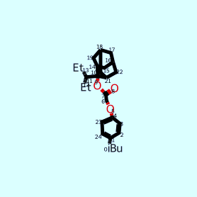 CCC(C)c1ccc(OCC(=O)OC2(C(CC)CC)C3CC4CC(C3)CC2C4)cc1